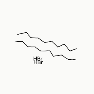 Br.Br.CCCCCCCCCC.CCCCCCCCCC